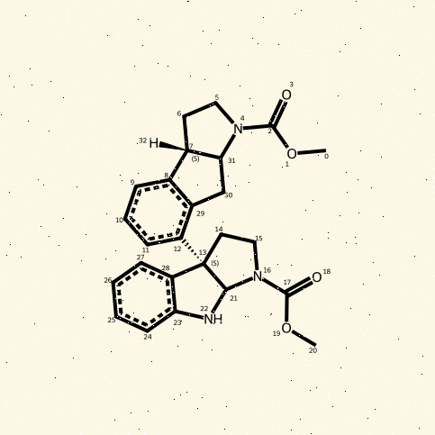 COC(=O)N1CC[C@H]2c3cccc([C@]45CCN(C(=O)OC)C4Nc4ccccc45)c3CC21